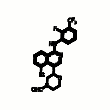 CCc1cccc2c(Nc3cccc(C(F)(F)F)c3F)ncc(C3CN(C=O)CCO3)c12